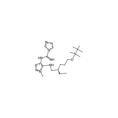 CC[C@H](CCCO[Si](C)(C)C(C)(C)C)CNc1c(NC(=N)n2ccnc2)cnn1C